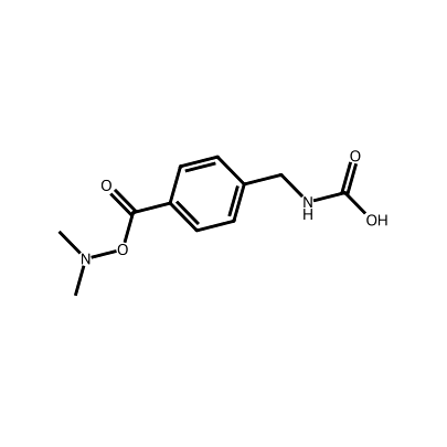 CN(C)OC(=O)c1ccc(CNC(=O)O)cc1